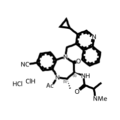 CNC(C)C(=O)N[C@@H]1C(=O)N(Cc2c(C3CC3)cnc3ccccc23)c2ccc(C#N)cc2N(C(C)=O)[C@H]1C.Cl.Cl